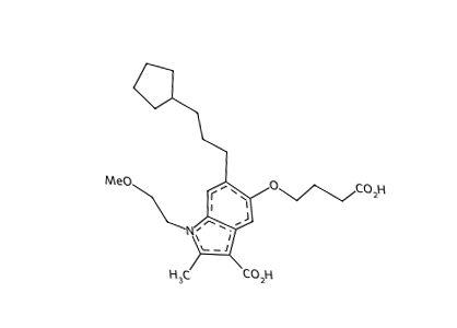 COCCn1c(C)c(C(=O)O)c2cc(OCCCC(=O)O)c(CCCC3CCCC3)cc21